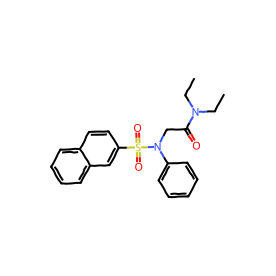 CCN(CC)C(=O)CN(c1ccccc1)S(=O)(=O)c1ccc2ccccc2c1